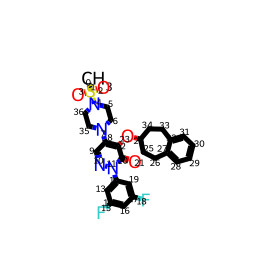 CS(=O)(=O)N1CCN(c2cnn(-c3cc(F)cc(F)c3)c(=O)c2OC2CCc3ccccc3CC2)CC1